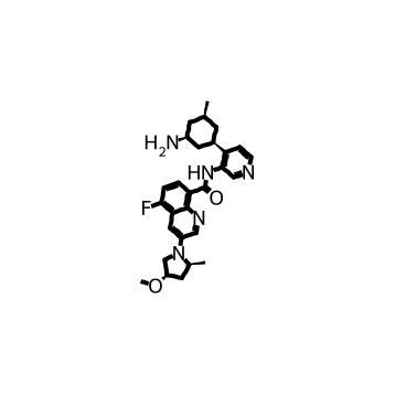 CO[C@@H]1C[C@H](C)N(c2cnc3c(C(=O)Nc4cnccc4[C@@H]4C[C@H](C)C[C@H](N)C4)ccc(F)c3c2)C1